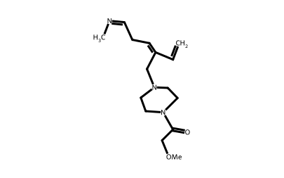 C=C/C(=C/C/C=N\C)CN1CCN(C(=O)COC)CC1